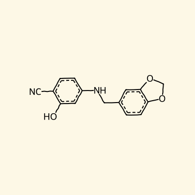 N#Cc1ccc(NCc2ccc3c(c2)OCO3)cc1O